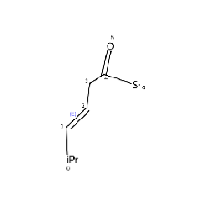 CC(C)/C=C/CC(=O)[S]